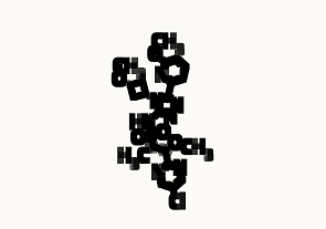 COc1cccc(-c2nnc(NS(=O)(=O)[C@@H](C)[C@H](OC)c3ncc(Cl)cn3)n2[C@H]2C[C@@H](OC)C2)n1